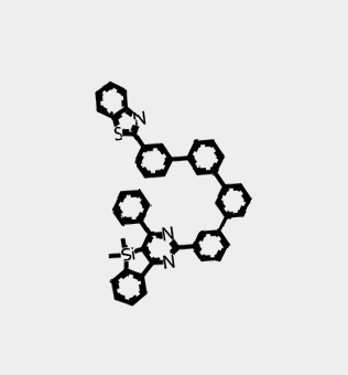 C[Si]1(C)c2ccccc2-c2nc(-c3cccc(-c4cccc(-c5cccc(-c6cccc(-c7nc8ccccc8s7)c6)c5)c4)c3)nc(-c3ccccc3)c21